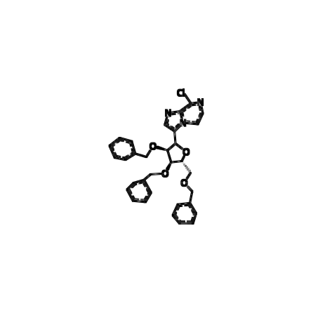 Clc1nccn2c(C3O[C@H](COCc4ccccc4)[C@@H](OCc4ccccc4)[C@H]3OCc3ccccc3)cnc12